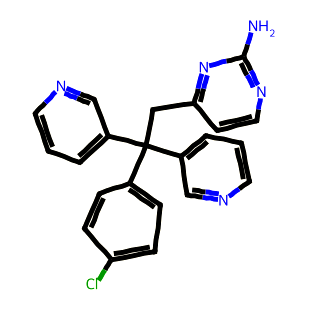 Nc1nccc(CC(c2ccc(Cl)cc2)(c2cccnc2)c2cccnc2)n1